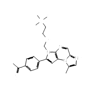 CC(=O)c1ccc(-c2cc3c(ncc4ncc(C)n43)n2COCC[Si](C)(C)C)cc1